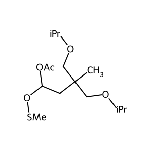 CSOC(CC(C)(COC(C)C)COC(C)C)OC(C)=O